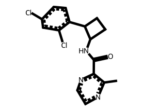 Cc1nccnc1C(=O)NC1CCC1c1ccc(Cl)cc1Cl